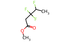 COC(=O)CC(F)(F)C(C)F